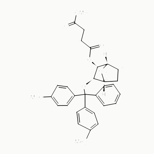 COC(=O)CCC(=O)O[C@@H]1[C@H](OC(c2ccccc2)(c2ccc(OC)cc2)c2ccc(OC)cc2)[C@H]2CC[C@@H]1O2